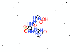 CC(C)N1CC(=O)N(C)c2cnc(Nc3cc(NC(=O)NC[C@@H]4CCCN4C(=O)O)cc(S(C)(=O)=O)c3)nc21